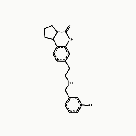 O=C1Nc2cc(CCNCc3cccc(Cl)c3)ccc2C2CCCC12